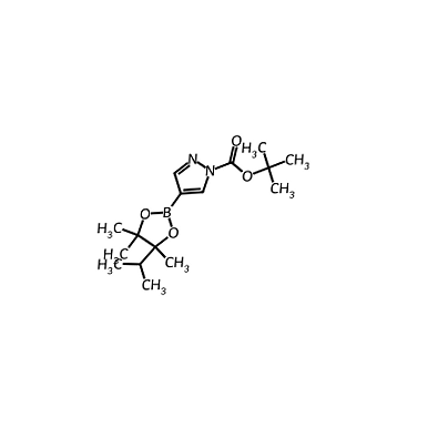 CC(C)C1(C)OB(c2cnn(C(=O)OC(C)(C)C)c2)OC1(C)C